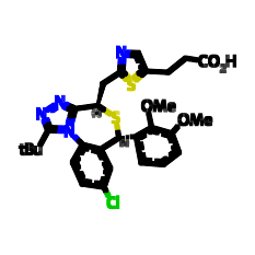 COc1cccc([C@H]2S[C@H](Cc3ncc(CCC(=O)O)s3)c3nnc(C(C)(C)C)n3-c3ccc(Cl)cc32)c1OC